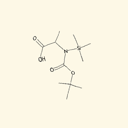 CC(C(=O)O)N(C(=O)OC(C)(C)C)[Si](C)(C)C